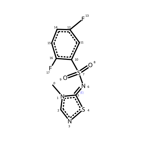 Cn1cns/c1=N/S(=O)(=O)c1cc(F)ccc1F